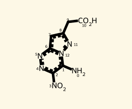 Nc1c([N+](=O)[O-])nnc2cc(CC(=O)O)nn12